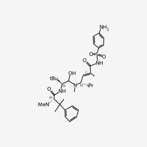 CN[C@H](C(=O)N[C@H](C(O)N(C)[C@H](/C=C(\C)C(=O)NS(=O)(=O)c1ccc(N)cc1)C(C)C)C(C)(C)C)C(C)(C)c1ccccc1